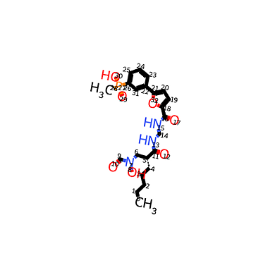 CCCCC[C@H](CN(O)C=O)C(=O)NCNC(=O)c1ccc(-c2cccc(P(C)(=O)O)c2)o1